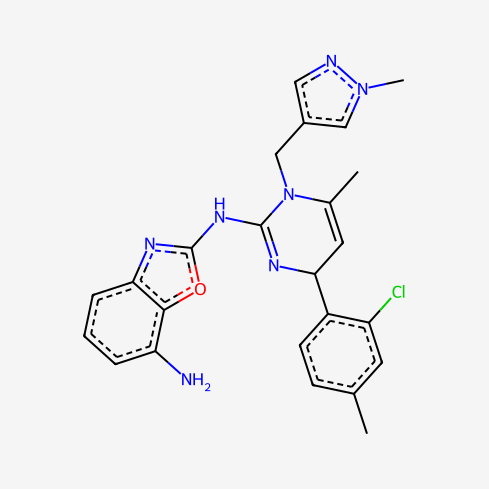 CC1=CC(c2ccc(C)cc2Cl)N=C(Nc2nc3cccc(N)c3o2)N1Cc1cnn(C)c1